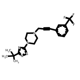 CC(C)(C)c1nsc(N2CCN(CC#Cc3cccc(C(F)(F)F)c3)CC2)n1